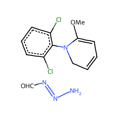 COC1=CC=CCN1c1c(Cl)cccc1Cl.NN=NC=O